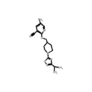 Bc1cnc(OCC2CCN(c3nc(C(C)C)no3)CC2)c(C#N)c1